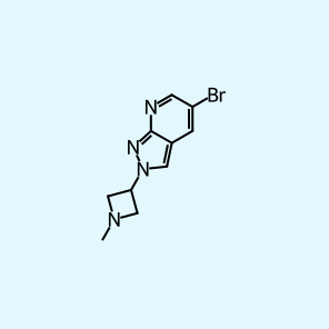 CN1CC(n2cc3cc(Br)cnc3n2)C1